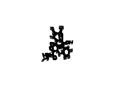 CCNC(=O)C(=O)C(Cc1ccccc1)NC(=O)C(CC(C)CC)NC(=O)O